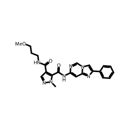 COCCCNC(=O)c1cnn(C)c1C(=O)Nc1cc2nc(-c3ccccc3)cn2cn1